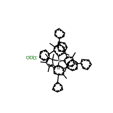 CC1=C(C)C(C)([Si](c2c(C)cc(-c3ccccc3)c(C)c2-c2ccccc2)(c2c(C)cc(-c3ccccc3)c(C)c2-c2ccccc2)c2c(C)cc(-c3ccccc3)c(C)c2-c2ccccc2)[C]([Ti+3])=C1C.[Cl-].[Cl-].[Cl-]